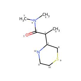 CC(C(=O)N(C)C)C1CSCC[N]1